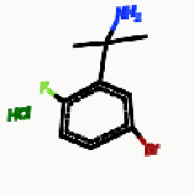 CC(C)(N)c1cc(Br)ccc1F.Cl